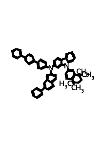 CC1(C)CCC(C)(C)c2cc(-n3c4ccccc4c4ccc(N(c5ccc(-c6ccc(-c7ccccc7)cc6)cc5)c5ccc6ccc(-c7ccccc7)cc6c5)cc43)ccc21